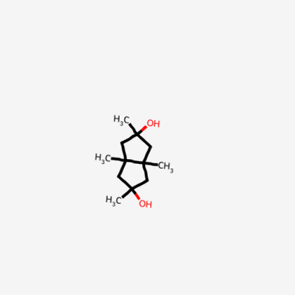 CC1(O)CC2(C)CC(C)(O)CC2(C)C1